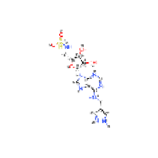 Cn1cc(CNc2ncnc3c2ncn3[C@@H]2O[C@H](CN[SH](=O)=O)[C@@H](O)[C@H]2O)cn1